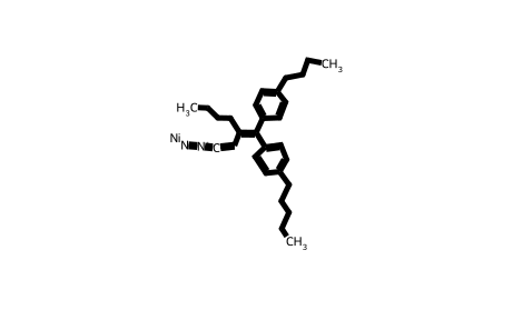 CCCCCc1ccc(C(=C(C=C=[N+]=[N-])CCCC)c2ccc(CCCC)cc2)cc1.[Ni]